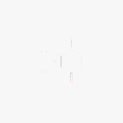 CCCNCCC.CCN1CCC(=O)CC1